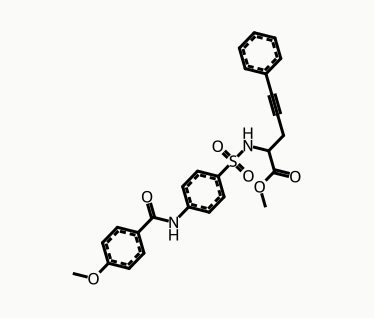 COC(=O)C(CC#Cc1ccccc1)NS(=O)(=O)c1ccc(NC(=O)c2ccc(OC)cc2)cc1